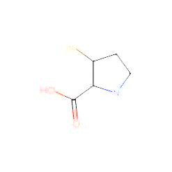 O=C(O)[C]1[N]CCC1Br